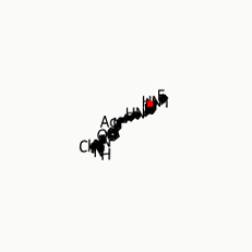 CC(=O)N(CCCCCCNCc1ccc(NCC(C)(F)I)nc1)CC1CCC(NC(=O)c2cc(Cl)cnc2C)CC1